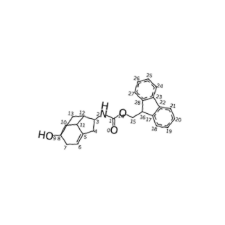 O=C(NC1CC2=CCC3(O)CC2C1C3)OCC1c2ccccc2-c2ccccc21